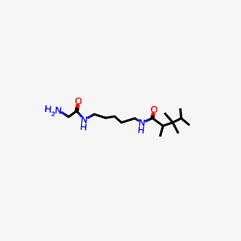 CC(C)C(C)(C)C(C)C(=O)NCCCCCNC(=O)CN